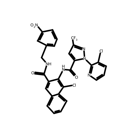 O=C(NCc1cccc([N+](=O)[O-])c1)c1cc2ccccc2c(Cl)c1NC(=O)c1cc(C(F)(F)F)nn1-c1ncccc1Cl